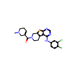 CN1CCC=C(C(=O)N2CCc3c(sc4ncnc(Nc5ccc(F)c(Cl)c5)c34)C2)C1